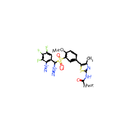 CCCCCC(=O)Nc1nc(C)c(-c2ccc(OC)c(S(=O)(=O)C([N+]#N)c3cc(F)c(F)c(F)c3[N+]#N)c2)s1